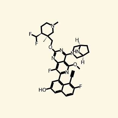 C#Cc1c(F)ccc2cc(O)cc(-c3nc(OC)c4c(N5C[C@H]6CC[C@@H](C5)N6)nc(OC[C@]5(C)CN(C)CC[C@@H]5C(F)F)nc4c3F)c12